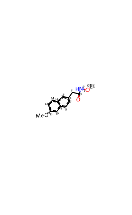 CCONC(=O)Cc1ccc2cc(OC)ccc2c1